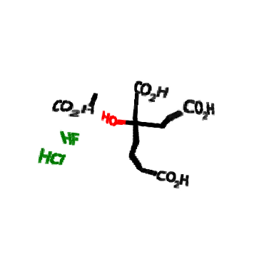 CC(=O)O.Cl.F.O=C(O)CC(O)(CC(=O)O)C(=O)O